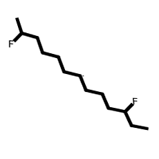 CCC(F)CCC[CH]CCCCC(C)F